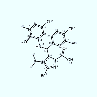 CC(C)n1c(Br)nc(C(=O)O)c1C(Nc1cc(Cl)cn(C)c1=O)c1ccc(Cl)c(F)c1